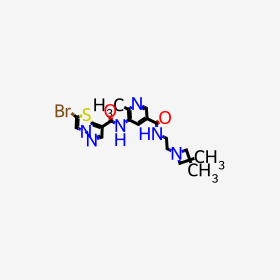 Cc1ncc(C(=O)NCCN2CC(C)(C)C2)cc1NC(=O)c1cnn2cc(Br)sc12